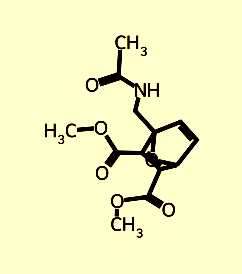 COC(=O)C1=C(C(=O)OC)C2(CNC(C)=O)C=CC1O2